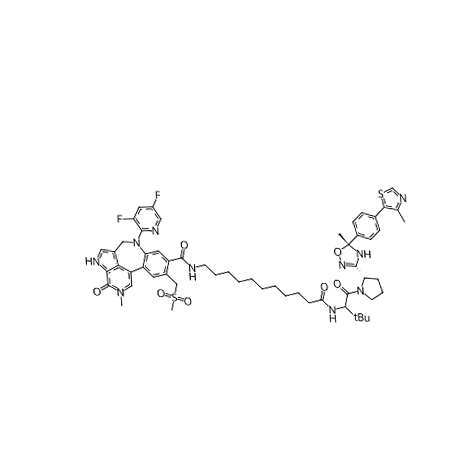 Cc1ncsc1-c1ccc([C@]2(C)NC([C@@H]3CCCN3C(=O)C(NC(=O)CCCCCCCCCCNC(=O)c3cc4c(cc3CS(C)(=O)=O)-c3cn(C)c(=O)c5[nH]cc(c35)CN4c3ncc(F)cc3F)C(C)(C)C)=NO2)cc1